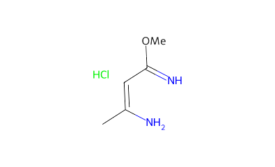 COC(=N)C=C(C)N.Cl